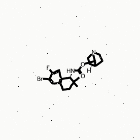 CC1(C)CCc2cc(Br)c(F)cc2[C@@H]1NC(=O)O[C@H]1CN2CCC1CC2